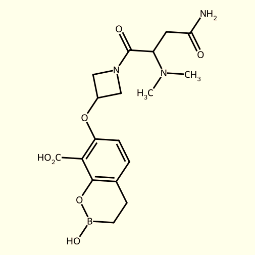 CN(C)C(CC(N)=O)C(=O)N1CC(Oc2ccc3c(c2C(=O)O)OB(O)CC3)C1